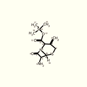 C=C1CS[C@@H]2C(N)C(=O)N2C1C(=O)O[Si](C)(C)C